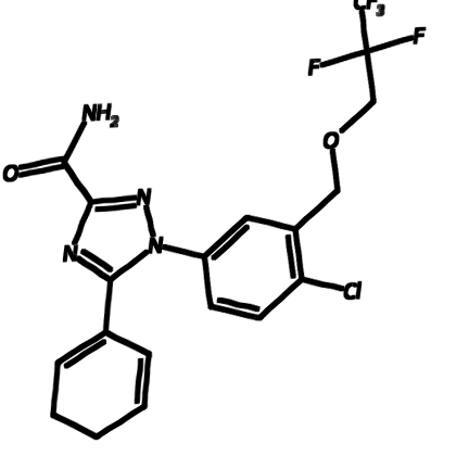 NC(=O)c1nc(C2=CCCC=C2)n(-c2ccc(Cl)c(COCC(F)(F)C(F)(F)F)c2)n1